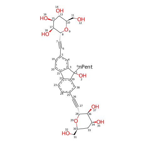 CCCCCC1(O)c2cc(C#C[C@H]3O[C@H](CO)[C@@H](O)[C@H](O)[C@@H]3O)ccc2-c2ccc(C#C[C@H]3O[C@H](CO)C[C@H](O)[C@@H]3O)cc21